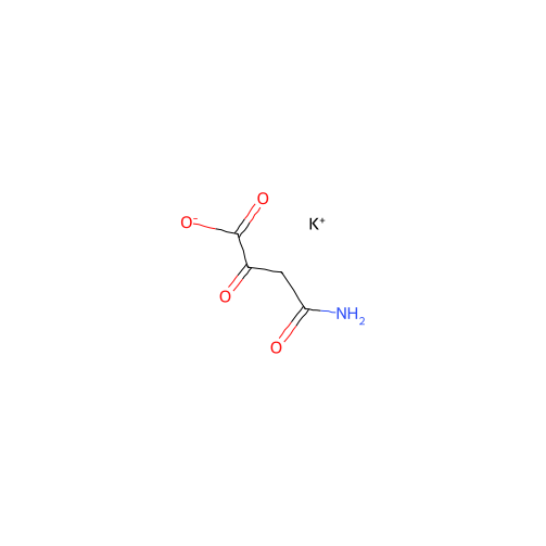 NC(=O)CC(=O)C(=O)[O-].[K+]